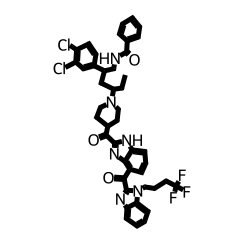 CCC(CC(CNC(=O)c1ccccc1)c1ccc(Cl)c(Cl)c1)N1CCC(C(=O)c2nc3c(C(=O)c4nc5ccccc5n4CCCC(F)(F)F)cccc3[nH]2)CC1